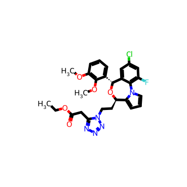 CCOC(=O)Cc1nnnn1CC[C@H]1O[C@H](c2cccc(OC)c2OC)c2cc(Cl)cc(F)c2-n2cccc21